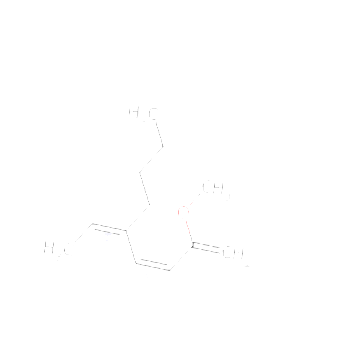 C=C(/C=C\C(=C/C)CCCC)OC